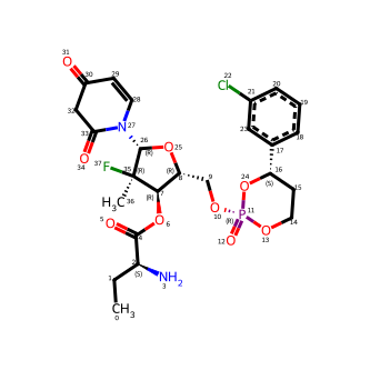 CC[C@H](N)C(=O)O[C@@H]1[C@@H](CO[P@@]2(=O)OCC[C@@H](c3cccc(Cl)c3)O2)O[C@@H](N2C=CC(=O)CC2=O)[C@]1(C)F